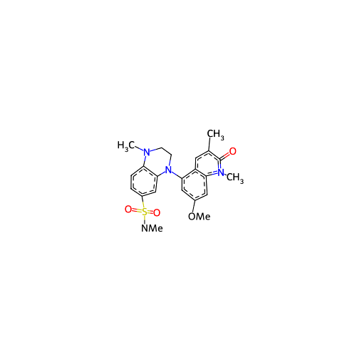 CNS(=O)(=O)c1ccc2c(c1)N(c1cc(OC)cc3c1cc(C)c(=O)n3C)CCN2C